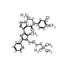 Cc1c(-c2cnn3c2C(=O)N(c2ccc(C(F)(F)F)c(Cl)c2)C[C@@H]3C)nc(-c2ccccn2)n1COCC[Si](C)(C)C